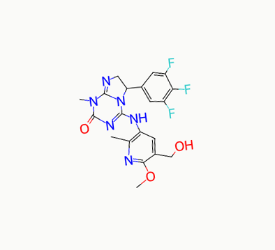 COc1nc(C)c(NC2=NC(=O)N(C)C3=NCC(c4cc(F)c(F)c(F)c4)N23)cc1CO